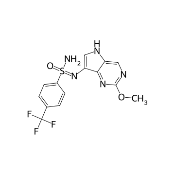 COc1ncc2[nH]cc(N=S(N)(=O)c3ccc(C(F)(F)F)cc3)c2n1